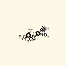 O=[N+]([O-])c1cc(C2=NOC(c3cc(C(F)(F)F)cc(C(F)(F)F)c3)(C(F)(F)F)C2)ccc1N1C=NNN1